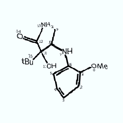 COc1ccccc1NC(C)C(O)(C(N)=O)C(C)(C)C